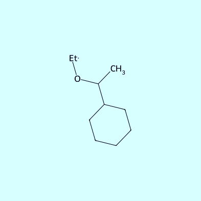 C[CH]OC(C)C1CCCCC1